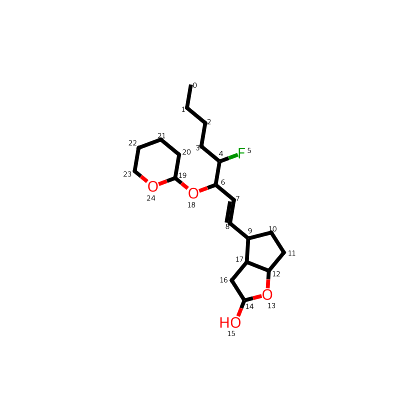 CCCCC(F)C(/C=C/C1CCC2OC(O)CC12)OC1CCCCO1